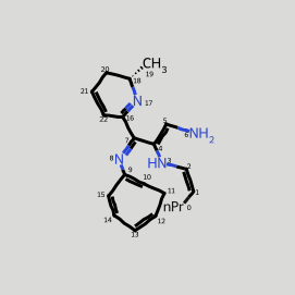 CCC/C=C\NC(=C\N)/C(=N\C1=CCC=CC=C1)C1=N[C@@H](C)CC=C1